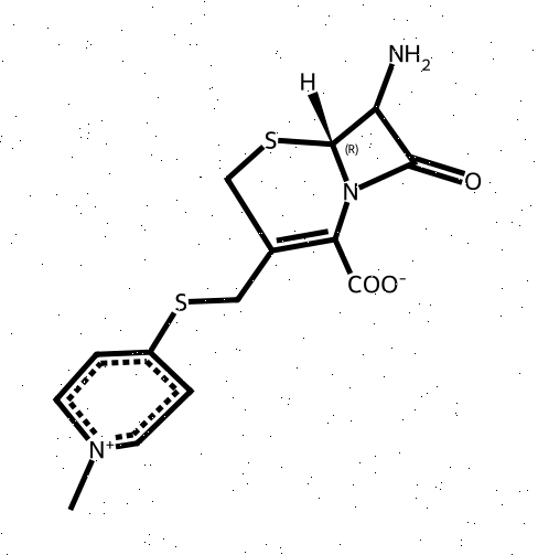 C[n+]1ccc(SCC2=C(C(=O)[O-])N3C(=O)C(N)[C@H]3SC2)cc1